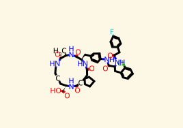 C[C@H]1NC(=O)[C@@H](Cc2ccc(NC(=O)C(Cc3ccccc3Cl)NC(=O)Cc3ccc(F)cc3)cc2)NC(=O)CC2(CCCC2)CC(=O)N[C@H](C(=O)O)CCCCNC1=O